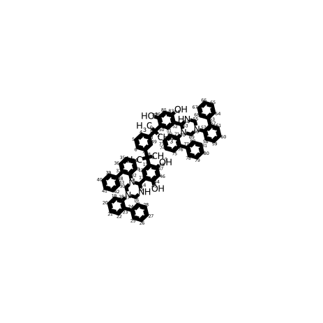 CC(C)(c1cccc(C(C)(C)c2cc(C3NCN(c4ccccc4-c4ccccc4)CN3c3ccccc3-c3ccccc3)c(O)cc2O)c1)c1cc(C2NCN(c3ccccc3-c3ccccc3)CN2c2ccccc2-c2ccccc2)c(O)cc1O